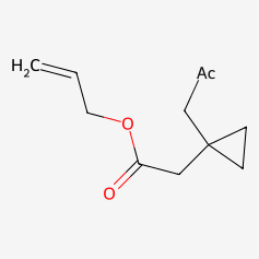 C=CCOC(=O)CC1(CC(C)=O)CC1